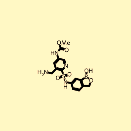 COC(=O)Nc1cnc(S(=O)(=O)Nc2ccc3c(c2)B(O)OC3)c(CN)c1